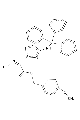 COc1ccc(COC(=O)/C(=N\O)c2csc(NC(c3ccccc3)(c3ccccc3)c3ccccc3)n2)cc1